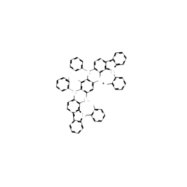 Cc1c2c(cc3c1N(c1ccccc1)c1ccc4c5ccccc5n5c4c1B3Oc1ccccc1-5)B1Oc3ccccc3-n3c4ccccc4c4ccc(c1c43)N2c1ccccc1